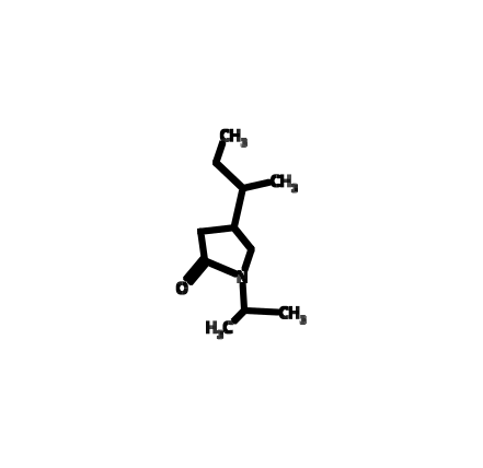 CCC(C)C1CC(=O)N(C(C)C)C1